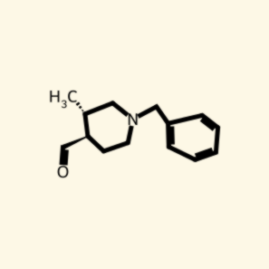 C[C@@H]1CN(Cc2ccccc2)CC[C@H]1C=O